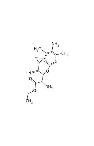 CCOC(=O)C(N)C(Oc1cc(C)c(N)c(C)c1)C(=N)C1CC1